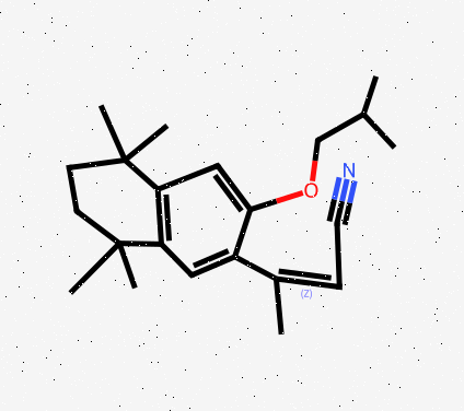 C/C(=C/C#N)c1cc2c(cc1OCC(C)C)C(C)(C)CCC2(C)C